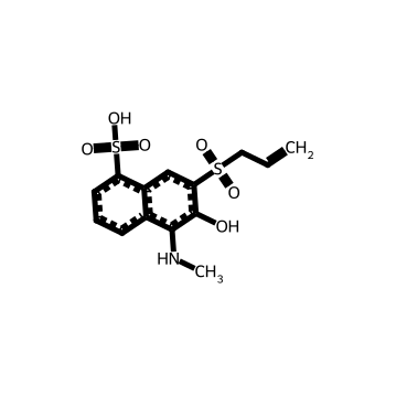 C=CCS(=O)(=O)c1cc2c(S(=O)(=O)O)cccc2c(NC)c1O